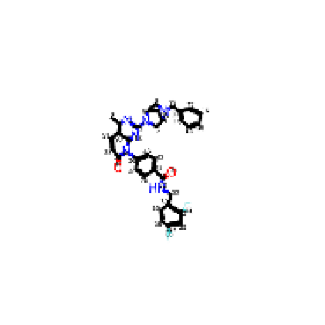 Cc1nc(N2CC3CC2CN3Cc2ccccc2)nc2c1ccc(=O)n2-c1ccc(C(=O)NCc2ccc(F)cc2F)cc1